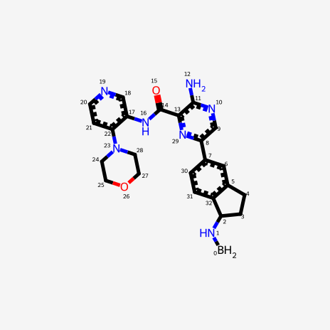 BNC1CCc2cc(-c3cnc(N)c(C(=O)Nc4cnccc4N4CCOCC4)n3)ccc21